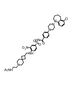 CC(=O)NCCN1CCC2(CC1)CC(CNc1ccc(S(=O)(=O)NC(=O)c3ccc(N4CCN([C@@H]5CCCCc6c(Cl)cccc65)CC4)cc3)cc1[N+](=O)[O-])C2